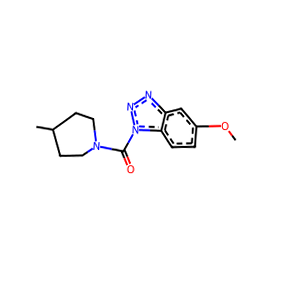 COc1ccc2c(c1)nnn2C(=O)N1CCC(C)CC1